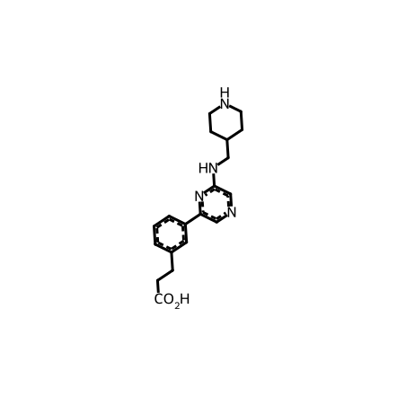 O=C(O)CCc1cccc(-c2cncc(NCC3CCNCC3)n2)c1